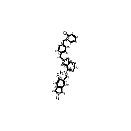 O=c1ccccn1Cc1ccc(Cn2cc3c(NCc4cc5c(cc4F)CNC5)ncnc3n2)cc1